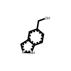 O[CH]c1ccc2[nH]ncc2c1